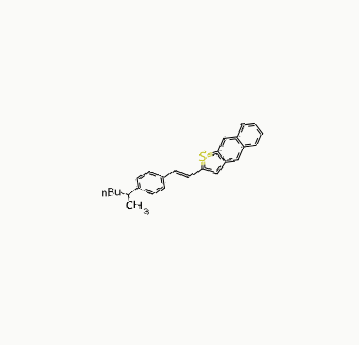 CCCCC(C)c1ccc(/C=C/c2cc3cc4ccccc4cc3s2)cc1